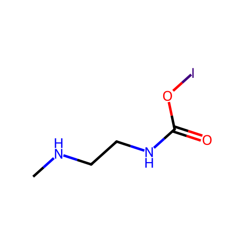 CNCCNC(=O)OI